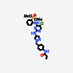 C=CC(=O)Nc1ccc(Cn2cc(Nc3ncc(Cl)c(Nc4ccccc4P(=O)(OC)OC)n3)cn2)cc1